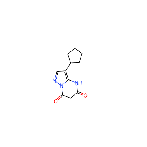 O=C1CC(=O)n2ncc(C3CCCC3)c2N1